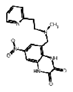 CN(CCc1ccccn1)Cc1cc([N+](=O)[O-])cc2[nH]c(=O)c(=O)[nH]c12